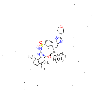 Cc1cccc(C)c1-c1nc2nc(c1C)OC[C@@H](CC(C)(C)C)C(Cc1cnc(C3CCOCC3)cn1)c1cccc(c1)S(=O)(=O)N2